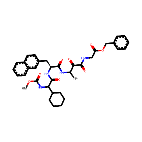 CCCC(NC(=O)[C@H](Cc1ccc2ccccc2c1)NC(=O)C(NC(=O)OC(C)(C)C)C1CCCCC1)C(=O)C(=O)NCC(=O)OCc1ccccc1